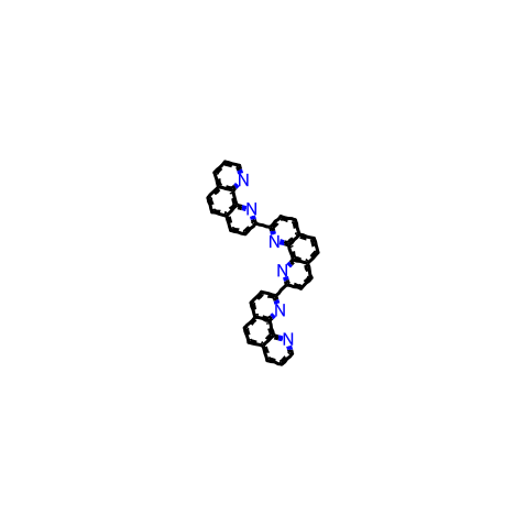 c1cnc2c(c1)ccc1ccc(-c3ccc4ccc5ccc(-c6ccc7ccc8cccnc8c7n6)nc5c4n3)nc12